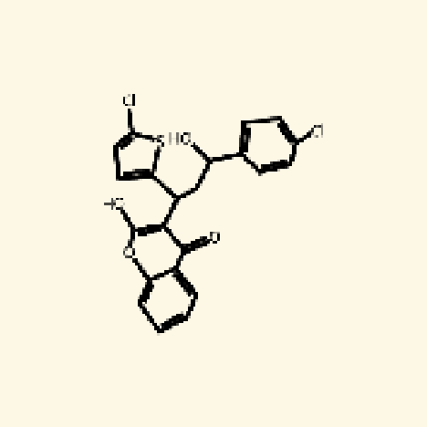 O=c1c(C(CC(O)c2ccc(Cl)cc2)c2ccc(Cl)s2)c(O)oc2ccccc12